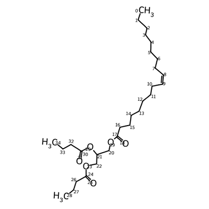 CCCCCCCC/C=C\CCCCCCCC(=O)OCC(COC(=O)CCC)OC(=O)CCC